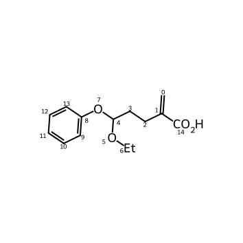 C=C(CCC(OCC)Oc1ccccc1)C(=O)O